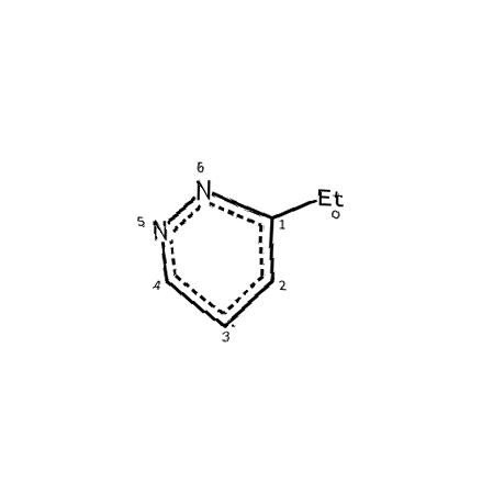 CCc1c[c]cnn1